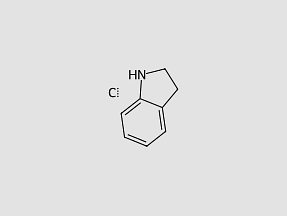 [C].c1ccc2c(c1)CCN2